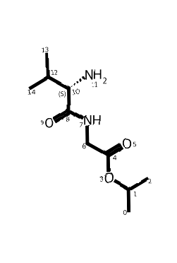 CC(C)OC(=O)CNC(=O)[C@@H](N)C(C)C